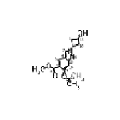 COC(=O)c1cc2cn(C3CC(O)C3)nc2cc1OC(C)C